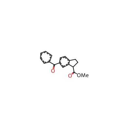 COC(=O)C1CCc2ccc(C(=O)c3ccccc3)cc21